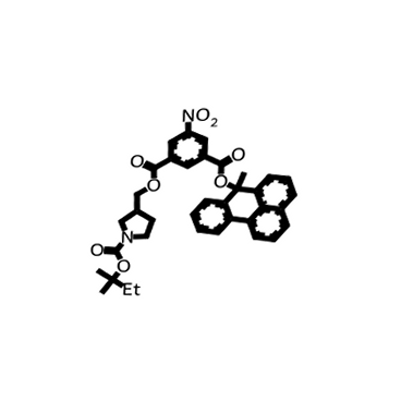 CCC(C)(C)OC(=O)N1CCC(COC(=O)c2cc(C(=O)OC3(C)c4ccccc4-c4cccc5cccc3c45)cc([N+](=O)[O-])c2)C1